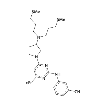 CCCc1cc(N2CCC(N(CCCSC)CCCSC)C2)nc(Nc2cccc(C#N)c2)n1